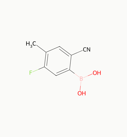 Cc1cc(C#N)c(B(O)O)cc1F